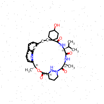 CC(C)[C@@H]1NC(=O)C2(CCc3ccc4ccc(nc4c3)[C@@H](C)OC(=O)[C@@H]3CCCN(N3)C(=O)[C@H](C)NC1=O)CCC(O)CC2